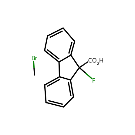 CBr.O=C(O)C1(F)c2ccccc2-c2ccccc21